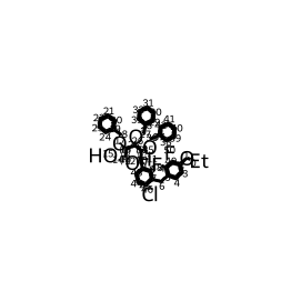 CCOc1ccc(Cc2cc([C@]3(I)O[C@H](CO)[C@@H](OCc4ccccc4)C(OCc4ccccc4)[C@H]3OCc3ccccc3)ccc2Cl)c(F)c1F